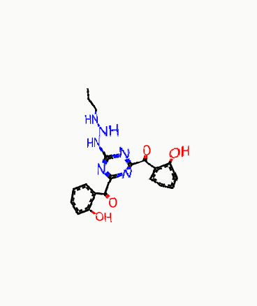 CCCNNNc1nc(C(=O)c2ccccc2O)nc(C(=O)c2ccccc2O)n1